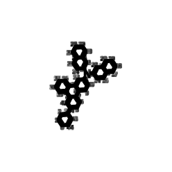 c1ccc(-c2ccc3c4ccc(N(c5ccc6ccccc6c5)c5ccc6ccccc6c5)cc4c4ccccc4c3c2)cc1